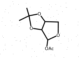 CC(=O)OC1OCC2OC(C)(C)OC21